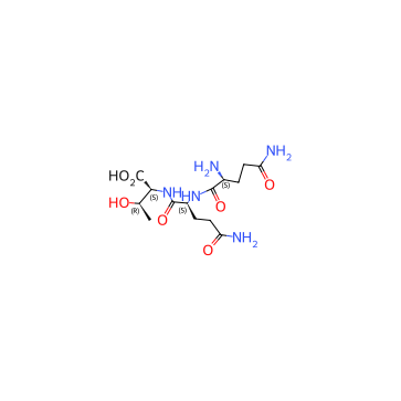 C[C@@H](O)[C@H](NC(=O)[C@H](CCC(N)=O)NC(=O)[C@@H](N)CCC(N)=O)C(=O)O